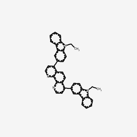 CCn1c2ccccc2c2cc(-c3ccnc4c3ccc3c(-c5ccc6c(c5)c5ccccc5n6CC)ccnc34)ccc21